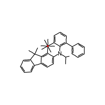 CC(C)N(c1ccc2c(c1C(C)(C)C)C(C)(C)c1ccccc1-2)c1c(-c2ccccc2)cccc1C(C)(C)C